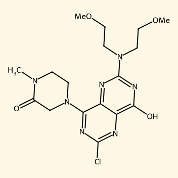 COCCN(CCOC)c1nc(O)c2nc(Cl)nc(N3CCN(C)C(=O)C3)c2n1